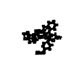 COc1ccc(S(=O)(=O)N(CC(C)C)C[C@@H](O)[C@H](Cc2ccccc2)NC(=O)OC2C3COC4OCC2C4C3)cc1